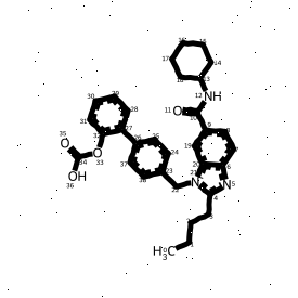 CCCCc1nc2ccc(C(=O)NC3CCCCC3)cc2n1Cc1ccc(-c2ccccc2OC(=O)O)cc1